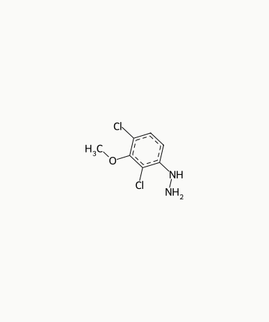 COc1c(Cl)ccc(NN)c1Cl